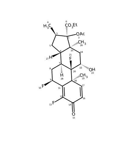 CCOC(=O)[C@@]1(OC(C)=O)[C@H](C)C[C@H]2[C@@H]3C[C@H](F)C4=C(F)C(=O)C=C[C@]4(C)[C@@]3(F)[C@@H](O)C[C@@]21C